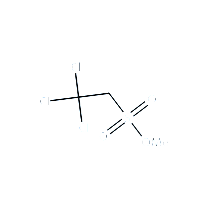 COS(=O)(=O)CC(Cl)(Cl)Cl